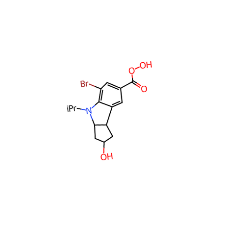 CC(C)N1c2c(Br)cc(C(=O)OO)cc2C2CC(O)CC21